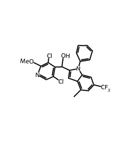 COc1ncc(Cl)c(C(O)c2cc3c(C)cc(C(F)(F)F)cc3n2-c2ccccc2)c1Cl